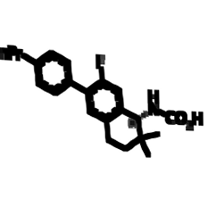 CCCc1ccc(-c2cc3c(cc2F)[C@H](NC(=O)O)C(C)(C)CC3)cc1